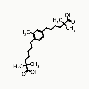 Cc1cc(CCCCC(C)(C)C(=O)O)ccc1CCCCCC(C)(C)C(=O)O